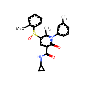 COc1ccccc1[S+]([O-])c1cc(C(=O)NC2CC2)c(=O)n(-c2cccc(C(F)(F)F)c2)c1C